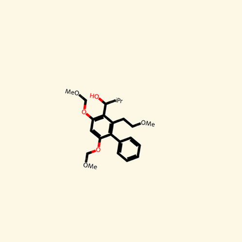 COCCc1c(-c2ccccc2)c(OCOC)cc(OCOC)c1C(O)C(C)C